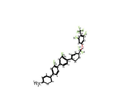 CC1CCC(c2ccc(-c3ccc(C4CCC(C(F)(F)Oc5cc(F)c(C(F)(F)F)c(F)c5)CC4)c(F)c3)c(F)c2)CC1